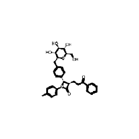 Cc1ccc(N2C(=O)[C@H](CCC(=O)c3ccccc3)[C@H]2c2ccc(C[C@@H]3O[C@H](CO)[C@@H](O)[C@H](O)[C@H]3O)cc2)cc1